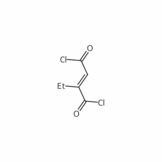 CC/C(=C\C(=O)Cl)C(=O)Cl